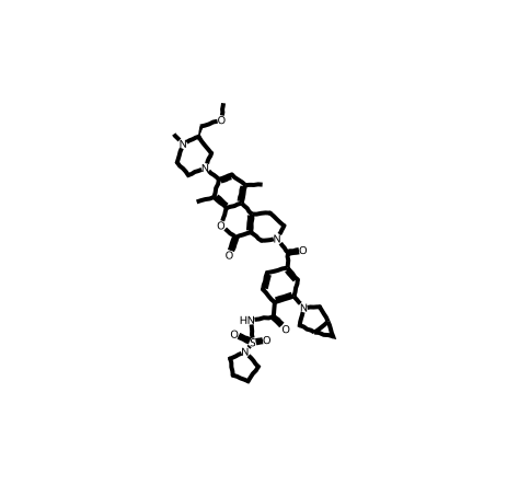 COC[C@H]1CN(c2cc(C)c3c4c(c(=O)oc3c2C)CN(C(=O)c2ccc(C(=O)NS(=O)(=O)N3CCCC3)c(N3CC5CC5C3)c2)CC4)CCN1C